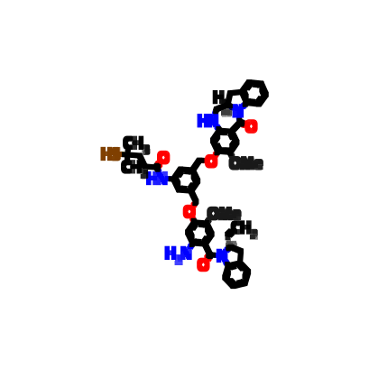 C=C[C@@H]1Cc2ccccc2N1C(=O)c1cc(OC)c(OCc2cc(COc3cc4c(cc3OC)C(=O)N3c5ccccc5C[C@H]3CN4)cc(NC(=O)CCC(C)(C)S)c2)cc1N